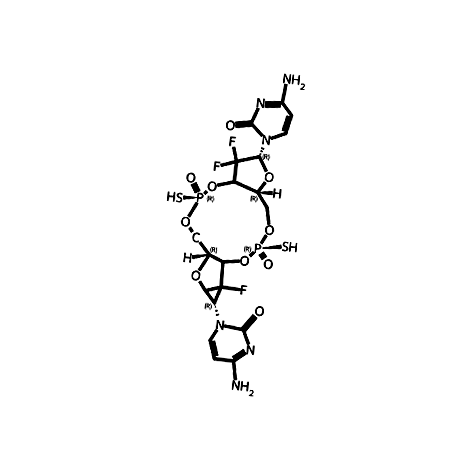 Nc1ccn([C@@H]2O[C@@H]3CO[P@@](=O)(S)OC4[C@@H](CO[P@@](=O)(S)OC3C2(F)F)OC2[C@@H](n3ccc(N)nc3=O)C42F)c(=O)n1